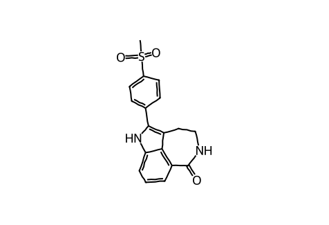 CS(=O)(=O)c1ccc(-c2[nH]c3cccc4c3c2CCNC4=O)cc1